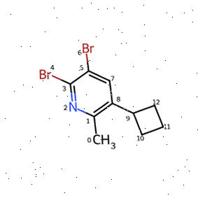 Cc1nc(Br)c(Br)cc1C1CCC1